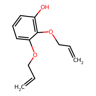 C=CCOc1cccc(O)c1OCC=C